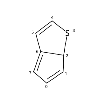 C1=CC2SC=CC2=C1